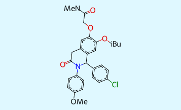 CCC(C)Oc1cc2c(cc1OCC(=O)NC)CC(=O)N(c1ccc(OC)cc1)C2c1ccc(Cl)cc1